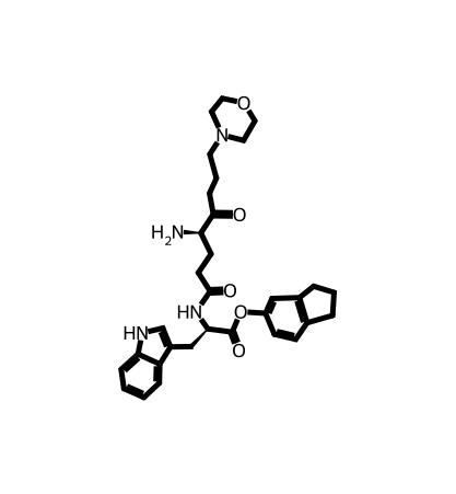 N[C@H](CCC(=O)N[C@H](Cc1c[nH]c2ccccc12)C(=O)Oc1ccc2c(c1)CCC2)C(=O)CCCN1CCOCC1